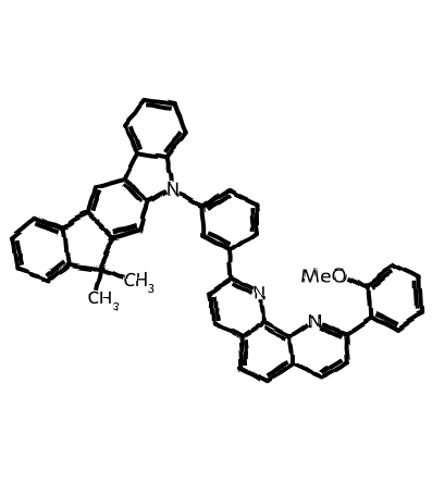 COc1ccccc1-c1ccc2ccc3ccc(-c4cccc(-n5c6ccccc6c6cc7c(cc65)C(C)(C)c5ccccc5-7)c4)nc3c2n1